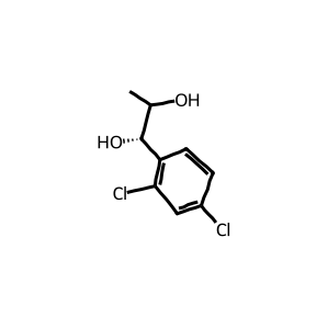 CC(O)[C@@H](O)c1ccc(Cl)cc1Cl